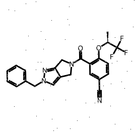 C[C@H](Oc1ccc(C#N)cc1C(=O)N1Cc2cn(Cc3ccccc3)nc2C1)C(F)(F)F